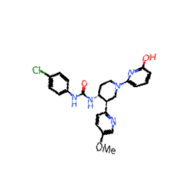 COc1ccc([C@@H]2CN(c3cccc(O)n3)CC[C@H]2NC(=O)Nc2ccc(Cl)cc2)nc1